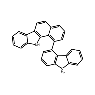 c1ccc2c(c1)[SiH2]c1cccc(-c3cccc4ccc5c6ccccc6[nH]c5c34)c1-2